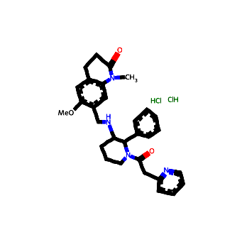 COc1cc2c(cc1CNC1CCCN(C(=O)Cc3ccccn3)C1c1ccccc1)N(C)C(=O)CC2.Cl.Cl